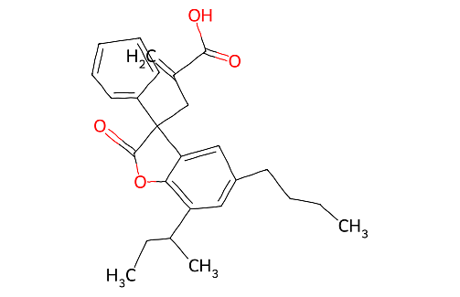 C=C(CC1(c2ccccc2)C(=O)Oc2c(C(C)CC)cc(CCCC)cc21)C(=O)O